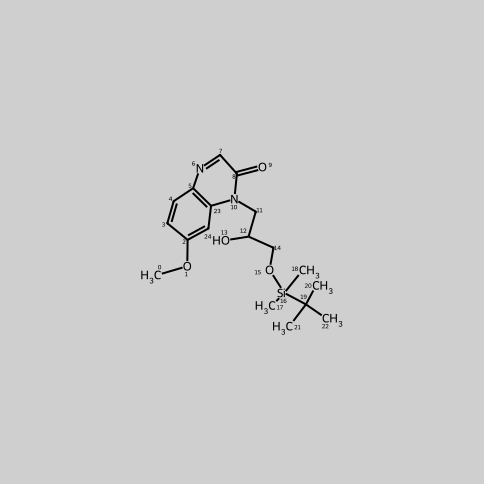 COc1ccc2ncc(=O)n(CC(O)CO[Si](C)(C)C(C)(C)C)c2c1